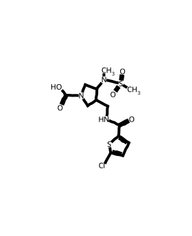 CN(C1CN(C(=O)O)CC1CNC(=O)c1ccc(Cl)s1)S(C)(=O)=O